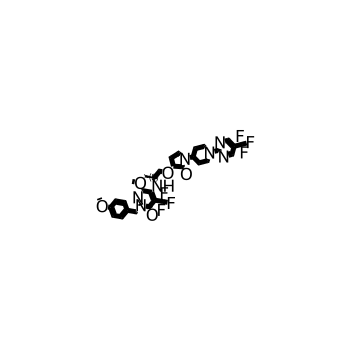 COC[C@@H](COC1CCN(C2CCN(c3ncc(C(F)(F)F)cn3)CC2)C1=O)Nc1cnn(Cc2ccc(OC)cc2)c(=O)c1C(F)(F)F